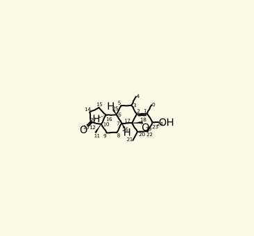 CC1=C2C(C)C[C@@H]3[C@@H](CC[C@]4(C)C(=O)CC[C@@H]34)[C@@]2(C=O)C(C)CC1O